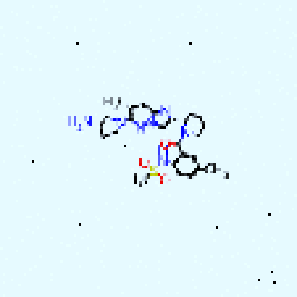 Cc1ccc(NS(C)(=O)=O)c(C(=O)N2CCCC[C@H]2c2cn3nc(N4CC[C@H](N)C4)c(C)cc3n2)c1